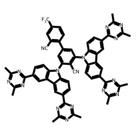 Cc1nc(C)nc(-c2ccc3c(c2)c2cc(-c4nc(C)nc(C)n4)ccc2n3-c2cc(-c3ccc(C(F)(F)F)cc3C#N)cc(-n3c4ccc(-c5nc(C)nc(C)n5)cc4c4cc(-c5nc(C)nc(C)n5)ccc43)c2C#N)n1